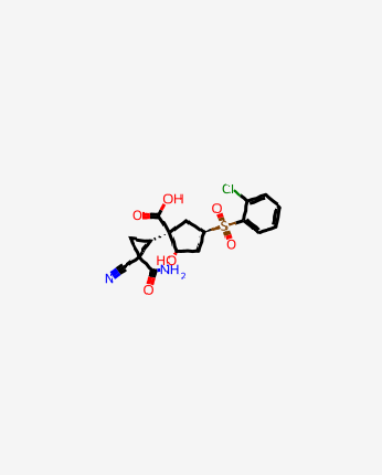 N#CC1(C(N)=O)CC1[C@]1(C(=O)O)C[C@@H](S(=O)(=O)c2ccccc2Cl)C[C@H]1O